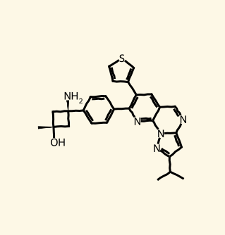 CC(C)c1cc2ncc3cc(-c4ccsc4)c(-c4ccc([C@]5(N)C[C@](C)(O)C5)cc4)nc3n2n1